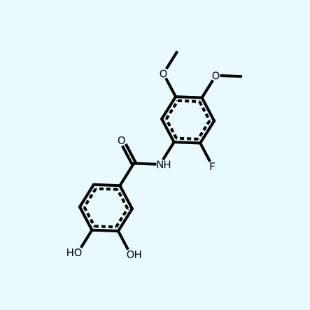 COc1cc(F)c(NC(=O)c2ccc(O)c(O)c2)cc1OC